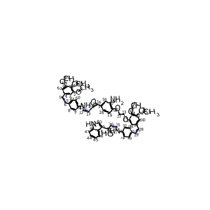 COc1cc(/C=C\c2ccc(N/C=C\C3OC3c3ccc(OCCOc4cc(/C=C\c5ccc(N/C=C\C(O)c6c[nH]c7ccccc67)cc5)cc(OC)c4OC)c(N)c3)cc2)cc(OC)c1OC